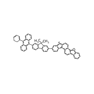 CC1(C)c2cc(-c3ccc4c(c3)sc3ccc5c(ccc6c7ccccc7oc65)c34)ccc2-c2ccc(-c3c4ccccc4c(C4=CC=CCC4)c4ccccc34)cc21